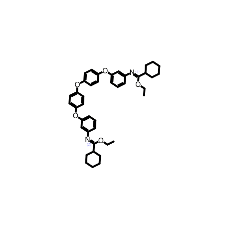 CCO/C(=N\c1cccc(Oc2ccc(Oc3ccc(Oc4cccc(/N=C(\OCC)C5CCCCC5)c4)cc3)cc2)c1)C1CCCCC1